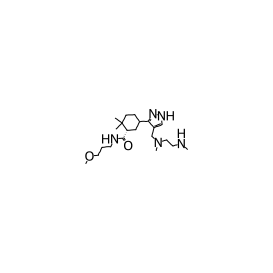 CNCCN(C)Cc1c[nH]nc1C1CCC(C)(C)[C@@H](C(=O)NCCCOC)C1